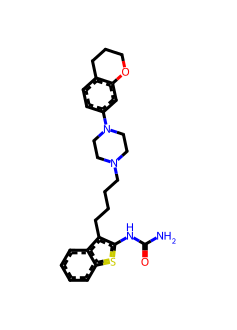 NC(=O)Nc1sc2ccccc2c1CCCCN1CCN(c2ccc3c(c2)OCCC3)CC1